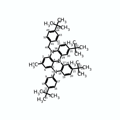 Cc1cc2c3c(c1)N(c1ccc(C(C)(C)C)cc1)c1ccc(C(C)(C)C)cc1B3c1cc(C(C)(C)C)ccc1N2Cc1ccc(C(C)(C)C)cc1